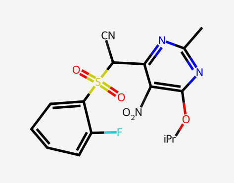 Cc1nc(OC(C)C)c([N+](=O)[O-])c(C(C#N)S(=O)(=O)c2ccccc2F)n1